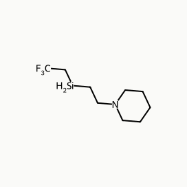 FC(F)(F)C[SiH2]CCN1CCCCC1